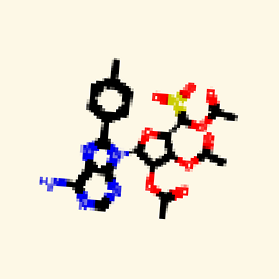 CC(=O)OC([C@H]1O[C@@H](n2c(-c3ccc(C)cc3)nc3c(N)ncnc32)[C@H](OC(C)=O)[C@@H]1OC(C)=O)=S(=O)=O